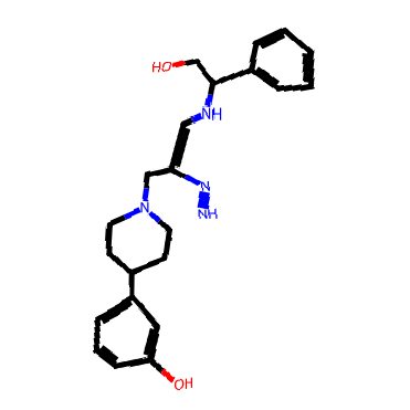 N=N/C(=C\NC(CO)c1ccccc1)CN1CCC(c2cccc(O)c2)CC1